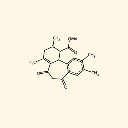 COC(=O)C1C2C(=C(C)CN1C)C(=O)CC(=O)c1cc(C)c(C)cc12